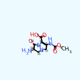 COC(=O)NC1=C(C(=O)O)N2C(=O)[C@@H](N)CN2C1